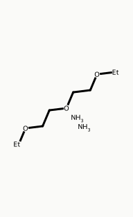 CCOCCOCCOCC.N.N